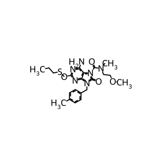 CCCSOc1nc(N)c2c(n1)n(Cc1ccc(C)cc1)c(=O)n2C(=O)N(C)CCOC